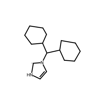 [C]1NC=CN1C(C1CCCCC1)C1CCCCC1